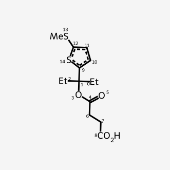 CCC(CC)(OC(=O)CCC(=O)O)c1ccc(SC)s1